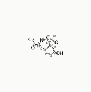 CCC(=O)[C@@H]1Cc2ccc(O)cc2C(C(C)=O)C(C)=N1